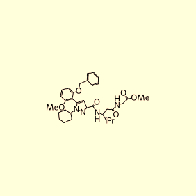 COC(=O)CNC(=O)CC(NC(=O)c1cc(-c2c(OC)cccc2OCc2ccccc2)n(C2CCCCC2)n1)C(C)C